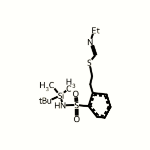 CCN=CSCCc1ccccc1S(=O)(=O)N[Si](C)(C)C(C)(C)C